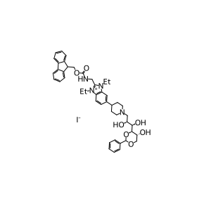 CCn1c(CNC(=O)OCC2c3ccccc3-c3ccccc32)[n+](CC)c2ccc(C3CCN(C[C@H](O)[C@@H](O)[C@@H]4OC(c5ccccc5)OC[C@H]4O)CC3)cc21.[I-]